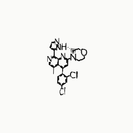 Cc1cnc(-c2ccn[nH]2)c2nc(N3CCOC[C@H]3C)cc(-c3ccc(Cl)cc3Cl)c12